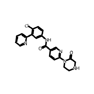 O=C(Nc1ccc(Cl)c(-c2ccccn2)c1)c1ccc(N2CCNCC2=O)nc1